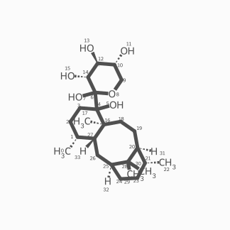 C[C@@H]1CCC(O)(C2(O)OC[C@@H](O)[C@H](O)[C@H]2O)[C@@]2(C)CC[C@H]3[C@H](C)CC[C@@H](C[C@H]12)C3(C)C